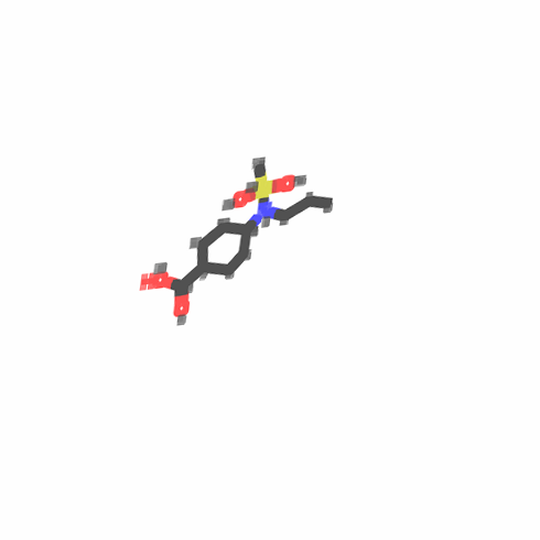 CCCN(C1CCC(C(=O)O)CC1)S(C)(=O)=O